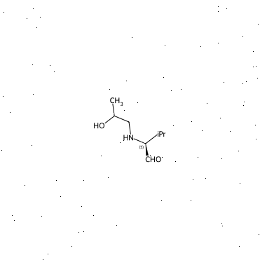 CC(O)CN[C@H](C=O)C(C)C